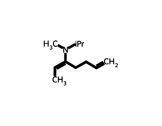 C=CCC/C(=C\C)N(C)C(C)C